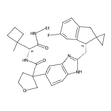 CCNC(=O)[C@H](NC(=O)C1(c2ccc3[nH]c(C[C@@H]4c5cc(F)ccc5CC45CC5)nc3c2)CCOC1)C1(C)CCC1